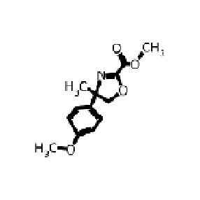 COC(=O)C1=NC(C)(c2ccc(OC)cc2)CO1